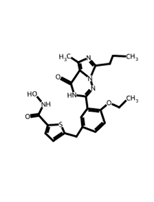 CCCc1nc(C)c2c(=O)[nH]c(-c3cc(Cc4ccc(C(=O)NO)s4)ccc3OCC)nn12